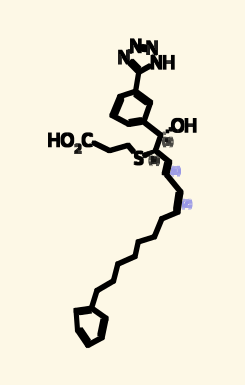 O=C(O)CCS[C@H](/C=C/C=C\CCCCCCCc1ccccc1)[C@@H](O)c1cccc(-c2nnn[nH]2)c1